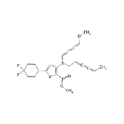 CC=C=C=CCN(C=C=C=COC)c1cc(C2CCC(F)(F)CC2)sc1C(=O)OC